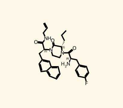 C=CCNC(=O)[C@H](Cc1ccc2ccccc2c1)N1CCN(C(=O)[C@H](N)Cc2ccc(F)cc2)[C@@H](CCC)C1=O